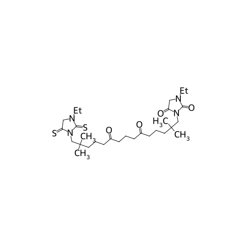 CCN1CC(=O)N(CC(C)(C)CCCC(=O)CCCC(=O)CCCC(C)(C)CN2C(=S)CN(CC)C2=S)C1=O